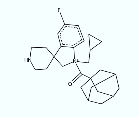 O=C(C12CC3CC(CC(C3)C1)C2)[N+]1(CC2CC2)CC2(CCNCC2)c2cc(F)ccc21